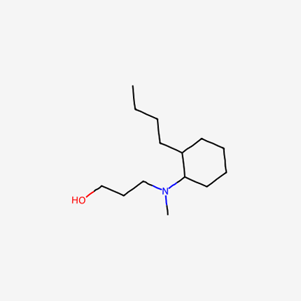 CCCCC1CCCCC1N(C)CCCO